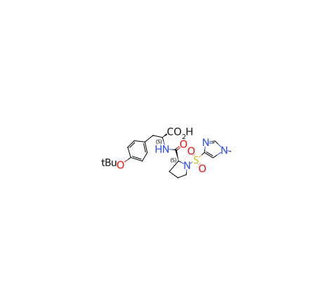 Cn1cnc(S(=O)(=O)N2CCC[C@H]2C(=O)N[C@@H](Cc2ccc(OC(C)(C)C)cc2)C(=O)O)c1